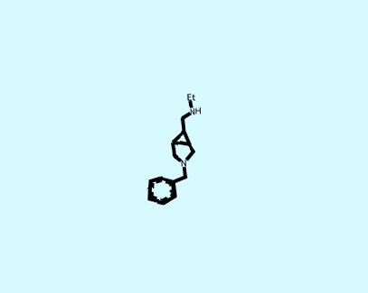 CCNCC1C2CN(Cc3ccccc3)CC12